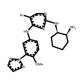 COc1ccc(Nc2nc(N[C@@H]3CCCC[C@@H]3N)ncc2C(C)=O)cc1-n1nccn1